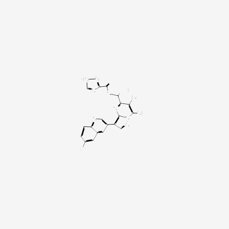 CC(NC(=O)c1nc[nH]n1)c1nc2c(-c3cnc4ccc(F)cc4c3)cnn2c(N)c1Br